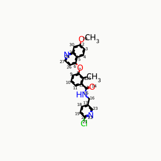 COc1ccc2c(Oc3cccc(C(=O)NCc4ccc(Cl)nc4)c3C)ccnc2c1